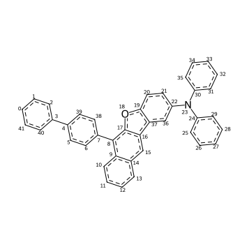 c1ccc(-c2ccc(-c3c4ccccc4cc4c3oc3ccc(N(c5ccccc5)c5ccccc5)cc34)cc2)cc1